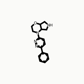 c1ccc(-c2ccc(N3CCOC4CNCC43)nn2)cc1